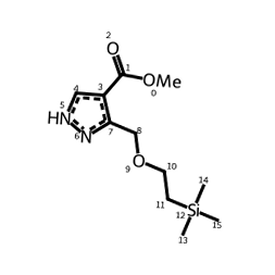 COC(=O)c1c[nH]nc1COCC[Si](C)(C)C